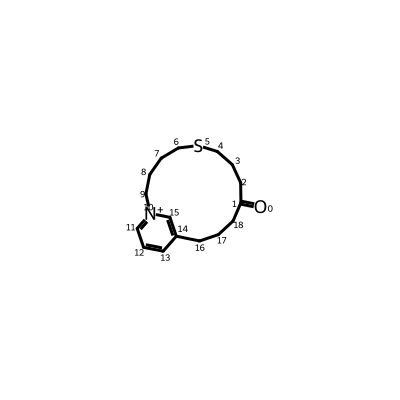 O=C1CCCSCCCC[n+]2cccc(c2)CCC1